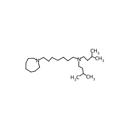 CC(C)CCN(CCCCCCCN1CCCCCCC1)CCC(C)C